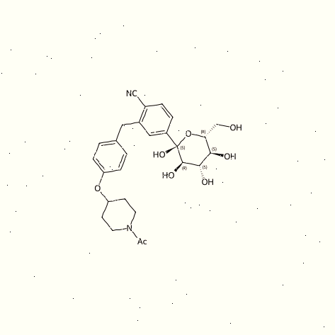 CC(=O)N1CCC(Oc2ccc(Cc3cc([C@]4(O)O[C@H](CO)[C@@H](O)[C@H](O)[C@H]4O)ccc3C#N)cc2)CC1